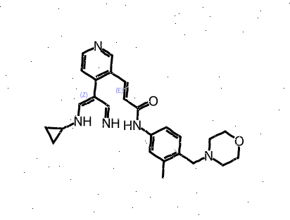 Cc1cc(NC(=O)/C=C/c2cnccc2/C(C=N)=C/NC2CC2)ccc1CN1CCOCC1